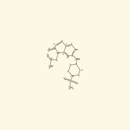 CS(=O)(=O)N1CCC(Nc2ncc3ccc(=O)n(CC(=O)O)c3n2)CC1